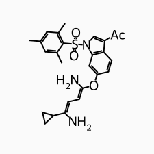 CC(=O)c1cn(S(=O)(=O)c2c(C)cc(C)cc2C)c2cc(O/C(N)=C/C=C(\N)C3CC3)ccc12